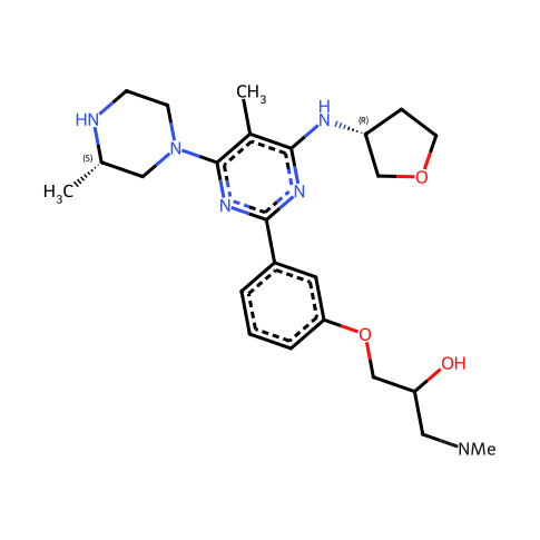 CNCC(O)COc1cccc(-c2nc(N[C@@H]3CCOC3)c(C)c(N3CCN[C@@H](C)C3)n2)c1